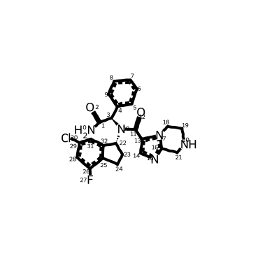 NC(=O)[C@@H](c1ccccc1)N(C(=O)c1cnc2n1CCNC2)[C@@H]1CCc2c(F)cc(Cl)cc21